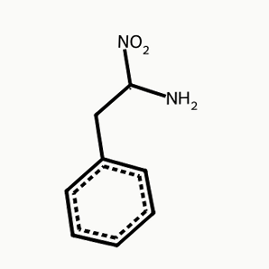 N[C](Cc1ccccc1)[N+](=O)[O-]